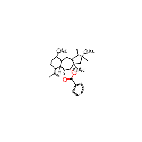 C=C(C)[C@H]1CC[C@@H](OC(C)=O)C2CC3[C@@H](C)[C@](C)(OC(C)=O)C[C@]3(OC(C)=O)[C@H](OC(=O)c3ccccc3)[C@@H](C)[C@@H]21